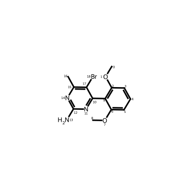 COc1cccc(OC)c1-c1nc(N)nc(C)c1Br